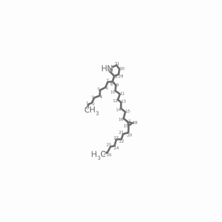 CCCCCCCCC(CCCCCCCCC1CC1CCCCCCCC)C1CCCNC1